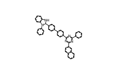 c1ccc(-c2nc(-c3ccc(-c4ccc(C5Nc6ccccc6N5c5ccccc5)cc4)cc3)nc(-c3ccc4ccccc4c3)n2)cc1